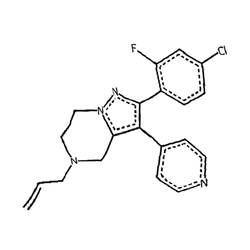 C=CCN1CCn2nc(-c3ccc(Cl)cc3F)c(-c3ccncc3)c2C1